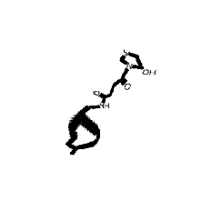 Cc1ccc(CNC(=O)CCC(=O)N2CSC[C@H]2O)cc1